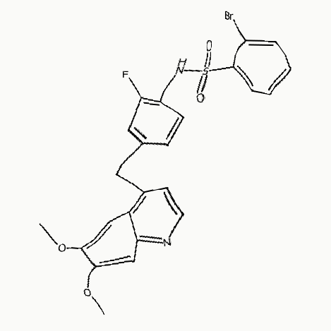 COc1cc2nccc(Cc3ccc(NS(=O)(=O)c4ccccc4Br)c(F)c3)c2cc1OC